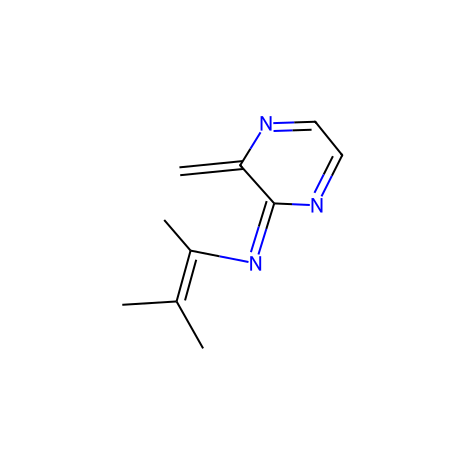 C=C1N=CC=N/C1=N/C(C)=C(C)C